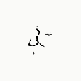 CCOC(=O)C(=O)c1scc(Br)c1Br